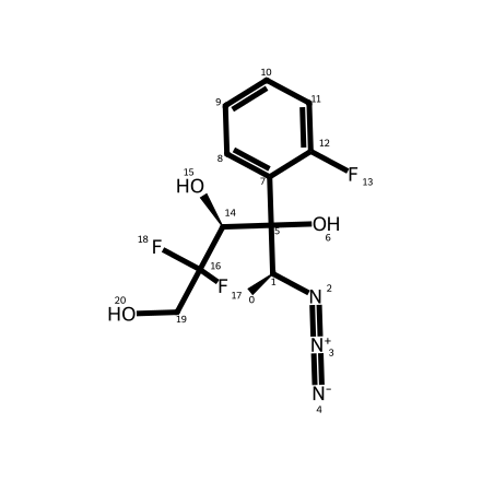 C[C@H](N=[N+]=[N-])C(O)(c1ccccc1F)[C@H](O)C(F)(F)CO